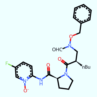 CCCC[C@H](CN(C=O)OCc1ccccc1)C(=O)N1CCC[C@H]1C(=O)Nc1ccc(F)c[n+]1[O-]